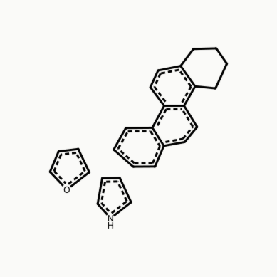 c1cc[nH]c1.c1ccc2c(c1)ccc1c3c(ccc12)CCCC3.c1ccoc1